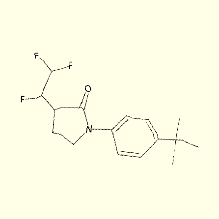 CC(C)(C)c1ccc(N2CCC(C(F)C(F)F)C2=O)cc1